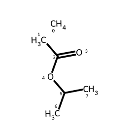 C.CC(=O)OC(C)C